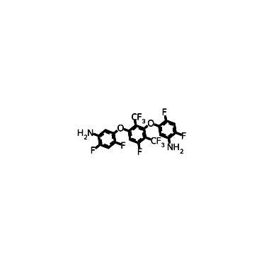 Nc1cc(Oc2cc(F)c(C(F)(F)F)c(Oc3cc(N)c(F)cc3F)c2C(F)(F)F)c(F)cc1F